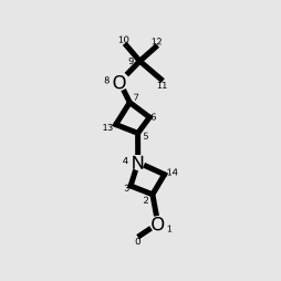 COC1CN(C2CC(OC(C)(C)C)C2)C1